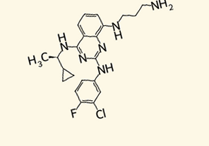 C[C@@H](Nc1nc(Nc2ccc(F)c(Cl)c2)nc2c(NCCCN)cccc12)C1CC1